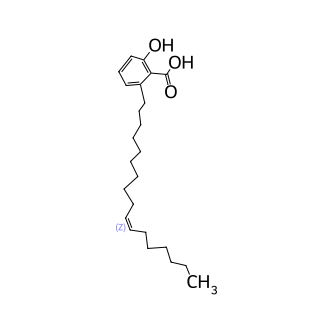 CCCCCC/C=C\CCCCCCCCCc1cccc(O)c1C(=O)O